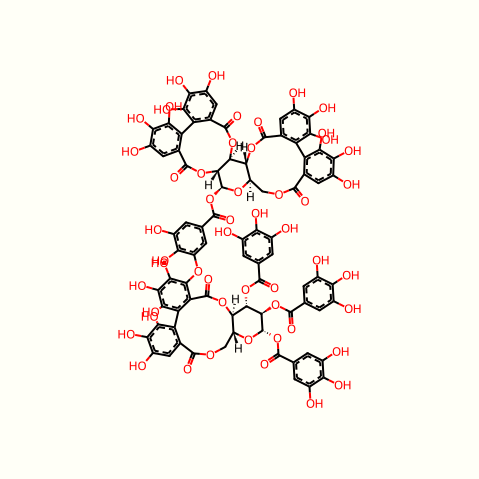 O=C(O[C@@H]1O[C@@H]2COC(=O)c3cc(O)c(O)c(O)c3-c3c(O)c(O)c(O)c(Oc4cc(C(=O)O[C@@H]5O[C@@H]6COC(=O)c7cc(O)c(O)c(O)c7-c7c(cc(O)c(O)c7O)C(=O)O[C@H]6[C@@H]6OC(=O)c7cc(O)c(O)c(O)c7-c7c(cc(O)c(O)c7O)C(=O)O[C@@H]56)cc(O)c4O)c3C(=O)O[C@H]2[C@H](OC(=O)c2cc(O)c(O)c(O)c2)[C@H]1OC(=O)c1cc(O)c(O)c(O)c1)c1cc(O)c(O)c(O)c1